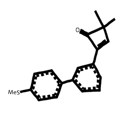 CSc1ccc(-c2cccc(C3=CC(C)(C)C3=O)c2)cc1